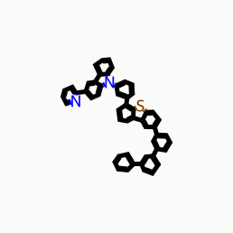 c1ccc(-c2cccc(-c3cccc(-c4ccc5sc6c(-c7cccc(-n8c9ccccc9c9cc(-c%10ccccn%10)ccc98)c7)cccc6c5c4)c3)c2)cc1